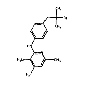 Cc1cc(C)c(N)c(Nc2ccc(CC(C)(C)O)cc2)n1